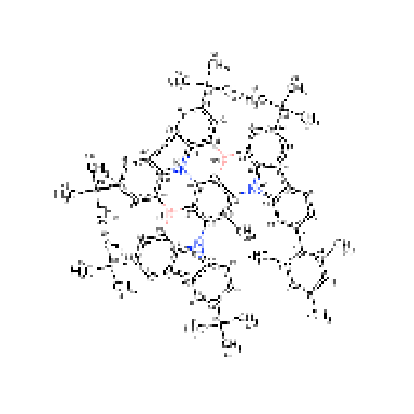 Cc1cc(C)c(-c2ccc3c4cc(C(C)(C)C)cc5c4n(c3c2)-c2c(C)c3c4c6c2B5c2cc(C(C)(C)C)cc5c7cc(C(C)(C)C)cc(c7n-6c25)B4c2cc(C(C)(C)C)cc4c5cc(C(C)(C)C)ccc5n-3c24)c(C)c1